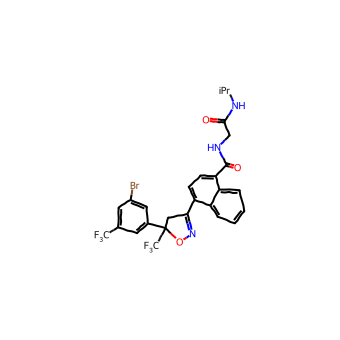 CC(C)NC(=O)CNC(=O)c1ccc(C2=NOC(c3cc(Br)cc(C(F)(F)F)c3)(C(F)(F)F)C2)c2ccccc12